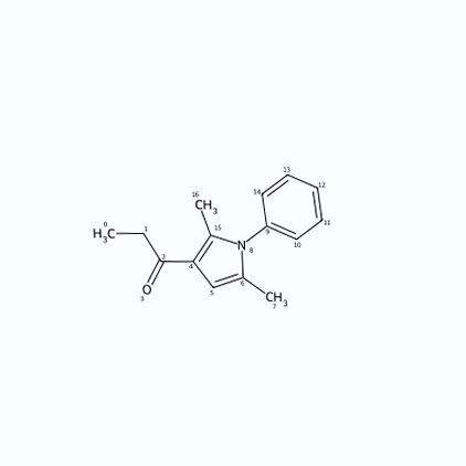 CCC(=O)c1cc(C)n(-c2ccccc2)c1C